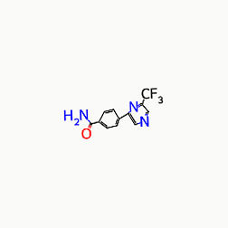 NC(=O)c1ccc(-c2cncc(C(F)(F)F)n2)cc1